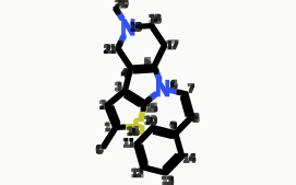 Cc1cc2c3c(n(/C=C\c4ccccc4)c2s1)CCN(C)C3